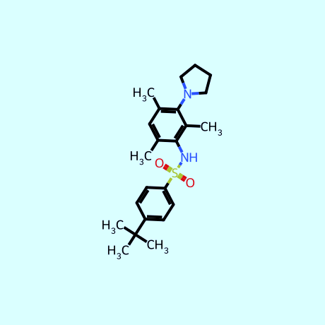 Cc1cc(C)c(N2CCCC2)c(C)c1NS(=O)(=O)c1ccc(C(C)(C)C)cc1